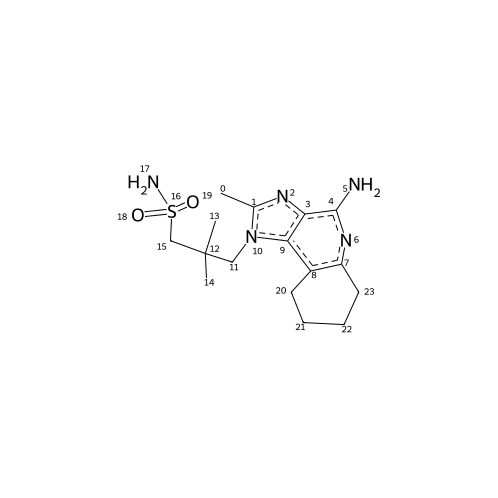 Cc1nc2c(N)nc3c(c2n1CC(C)(C)CS(N)(=O)=O)CCCC3